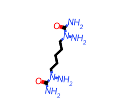 NC(=O)N(N)CCCCCN(N)C(N)=O